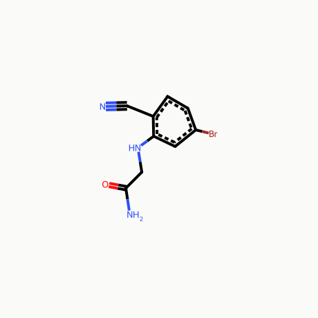 N#Cc1ccc(Br)cc1NCC(N)=O